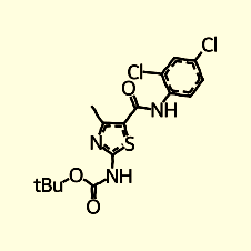 Cc1nc(NC(=O)OC(C)(C)C)sc1C(=O)Nc1ccc(Cl)cc1Cl